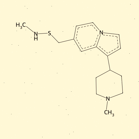 CNSCc1ccn2ccc(C3CCN(C)CC3)c2c1